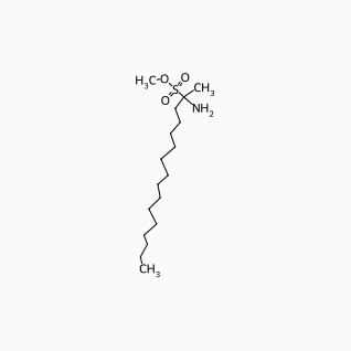 CCCCCCCCCCCCCCC(C)(N)S(=O)(=O)OC